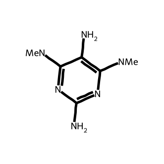 CNc1nc(N)nc(NC)c1N